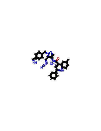 Cc1ccc2c(c1)C(C(=O)N(N)c1cnn(Cc3ccc(C=N)cc3)c1CN=[N+]=[N-])=CC(c1ccccc1)N2